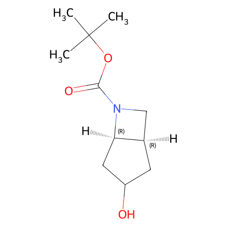 CC(C)(C)OC(=O)N1C[C@H]2CC(O)C[C@H]21